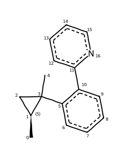 C[C@H]1CC1(C)c1ccccc1-c1ccccn1